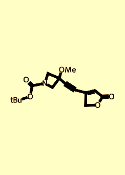 COC1(C#CC2=CC(=O)OC2)CN(C(=O)OC(C)(C)C)C1